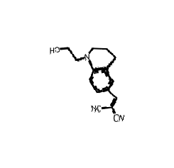 N#CC(C#N)=Cc1ccc2c(c1)CCCN2CCO